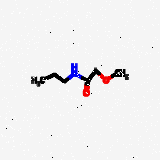 CCCNC(=O)[CH]OC